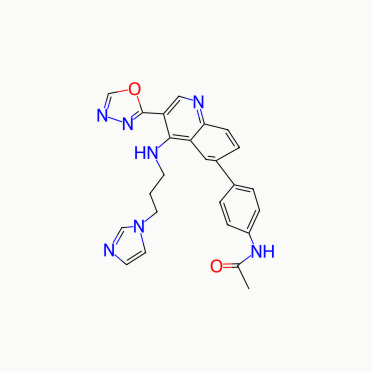 CC(=O)Nc1ccc(-c2ccc3ncc(-c4nnco4)c(NCCCn4ccnc4)c3c2)cc1